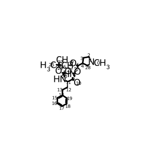 CN1CCC(C(=O)ONC(=O)[C@@H](CCc2ccccc2)NC(=O)OC(C)(C)C)C1